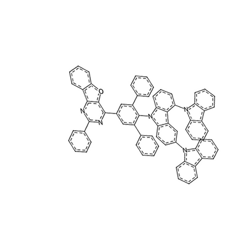 c1ccc(-c2nc(-c3cc(-c4ccccc4)c(-n4c5ccc(-n6c7ccccc7c7ccccc76)cc5c5c(-n6c7ccccc7c7ccccc76)cccc54)c(-c4ccccc4)c3)c3oc4ccccc4c3n2)cc1